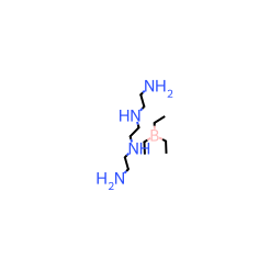 CCB(CC)CC.NCCNCCNCCN